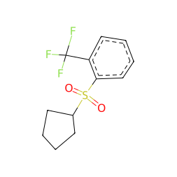 O=S(=O)(c1ccccc1C(F)(F)F)C1CCCC1